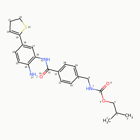 CC(C)COC(=O)NCc1ccc(C(=O)Nc2cc(C3=CCCS3)ccc2N)cc1